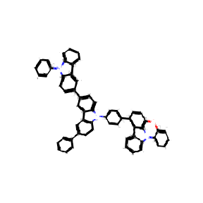 c1ccc(-c2ccc3c(c2)c2cc(-c4ccc5c(c4)c4ccccc4n5-c4ccccc4)ccc2n3-c2ccc(-c3ccc4c5c3c3ccccc3n5-c3ccccc3O4)cc2)cc1